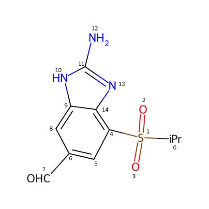 CC(C)S(=O)(=O)c1cc(C=O)cc2[nH]c(N)nc12